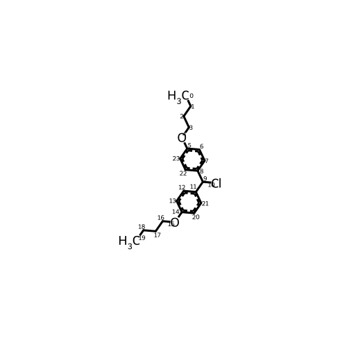 CCCCOc1ccc(C(Cl)c2ccc(OCCCC)cc2)cc1